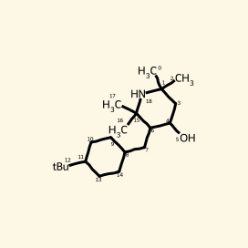 CC1(C)CC(O)C(CC2CCC(C(C)(C)C)CC2)C(C)(C)N1